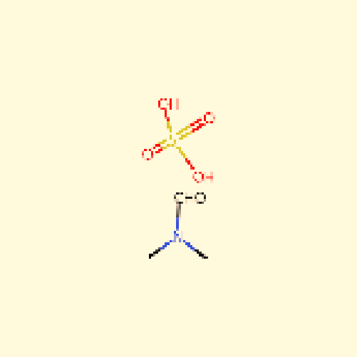 CN(C)C=O.O=S(=O)(O)O